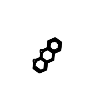 C1=COC2Oc3ccccc3CC2=C1